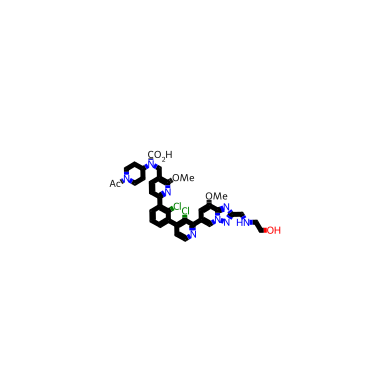 COc1nc(-c2cccc(-c3ccnc(-c4cc(OC)c5nc(CNCCO)nn5c4)c3Cl)c2Cl)ccc1CN(C(=O)O)C1CCN(C(C)=O)CC1